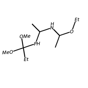 CCOC(C)NC(C)PC(CC)(OC)OC